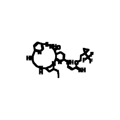 N=C(/C=C\NC1=CCC2C(=O)NSc3ccc(nc3)NCCNC3CC(CI)N(C3)C2=N1)OCCC1(C(F)(F)F)CC1